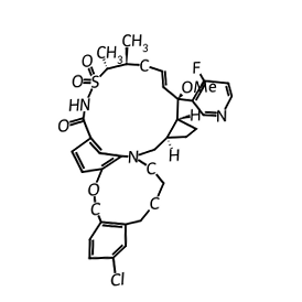 CO[C@]1(c2cnccc2F)/C=C/C[C@H](C)[C@@H](C)S(=O)(=O)NC(=O)c2ccc3c(c2)N(CCCCc2cc(Cl)ccc2CO3)C[C@@H]2CC[C@H]21